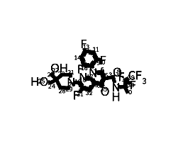 CC(NC(=O)c1cn(-c2c(F)cc(F)cc2F)c2nc(N3CCC(CO)(CO)CC3)c(F)cc2c1=O)C(F)(F)C(F)(F)F